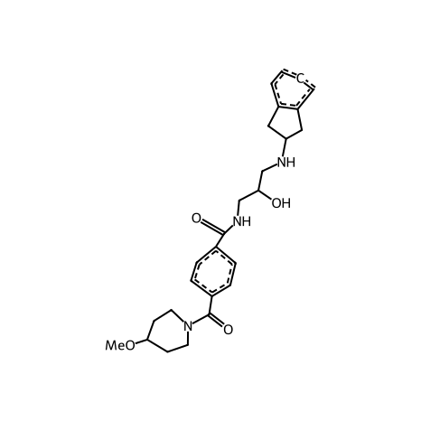 COC1CCN(C(=O)c2ccc(C(=O)NCC(O)CNC3Cc4ccccc4C3)cc2)CC1